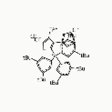 CC(C)(C)c1cc(C(C)(C)C)cc([Si](C2=C(c3ccccc3)[C]([Ti+3])=CC2)(c2cc(C(C)(C)C)cc(C(C)(C)C)c2)c2cc(C(C)(C)C)cc(C(C)(C)C)c2)c1.[Cl-].[Cl-].[Cl-]